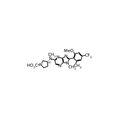 COc1cc(C(F)(F)F)cc(C)c1-c1nc2nc(N(C)[C@@H]3CCN(C(=O)O)C3)cnc2n1C